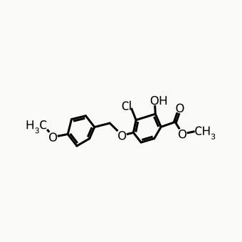 COC(=O)c1ccc(OCc2ccc(OC)cc2)c(Cl)c1O